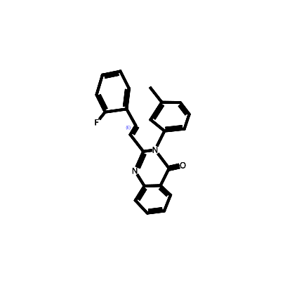 Cc1cccc(-n2c(/C=C/c3ccccc3F)nc3ccccc3c2=O)c1